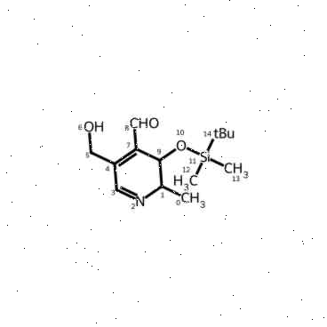 CC1N=CC(CO)=C(C=O)C1O[Si](C)(C)C(C)(C)C